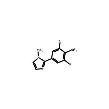 Cn1ccnc1-c1cc(F)c(N)c(F)c1